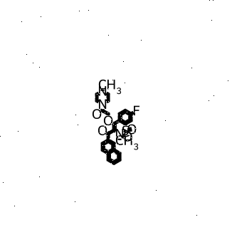 CN1CCN(C(=O)COC2=C(C(=O)c3ccc4ccccc4c3)N(C)S(=O)(=O)c3cc(F)ccc32)CC1